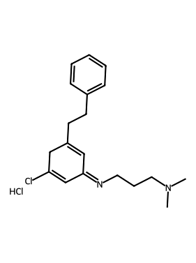 CN(C)CCC/N=C1/C=C(Cl)CC(CCc2ccccc2)=C1.Cl